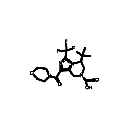 CC(C)(C)C1CN(C(=O)O)Cc2c(C(=O)N3CCOCC3)nc(C(F)(F)F)n21